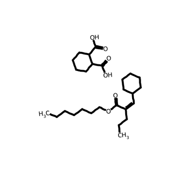 CCCCCCCOC(=O)C(=CC1CCCCC1)CCC.O=C(O)C1CCCCC1C(=O)O